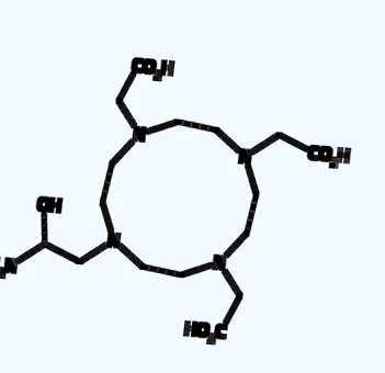 NC(O)CN1CCN(CC(=O)O)CCN(CC(=O)O)CCN(CC(=O)O)CC1